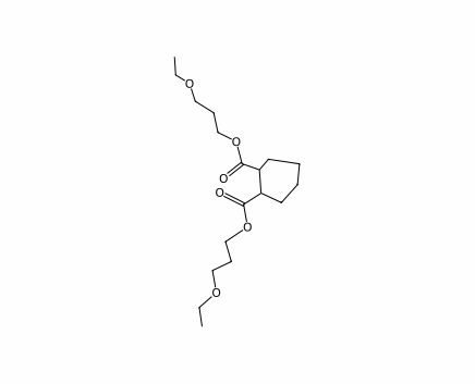 CCOCCCOC(=O)C1CCCCC1C(=O)OCCCOCC